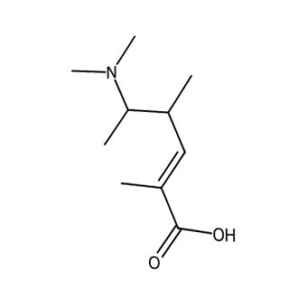 CC(=CC(C)C(C)N(C)C)C(=O)O